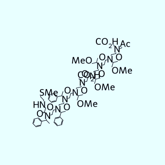 COCC(C)N(CC(=O)N(CC(C)=O)CC(=O)O)C(=O)CN(C(=O)CN(C(=O)CN(CC(=O)O)C(=O)CN(C(=O)CN(C(=O)CN(C(=O)CN(C(=O)CNCCSC)C(C)c1ccccc1)C(C)c1ccccc1)C(C)c1ccccc1)C(C)COC)C(C)COC)C(C)COC